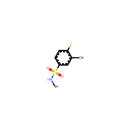 CC(C)NS(=O)(=O)c1ccc(F)c(C#N)c1